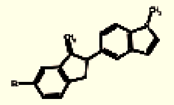 C=C1c2cc(CC)ccc2CN1c1ccc2c(ccn2C)c1